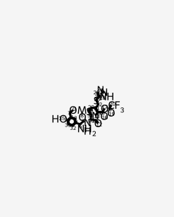 COCc1cc(C(N)C(=O)NC2C(=O)N3C(C(=O)OC(=O)C(F)(F)F)=C(CSc4cnn[nH]4)CSC23)ccc1O